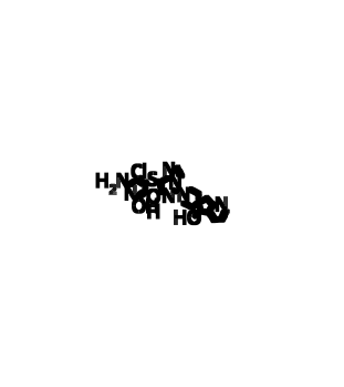 Nc1nc(O)cc(Sc2c(O)nc(N3CCC4(CC3)Cc3ncccc3C4O)n3ccnc23)c1Cl